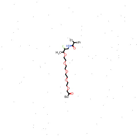 CCCC(CC)C(=O)NCC(F)C(C)OCCOCCOCCOCCOCC(=O)C(C)CC